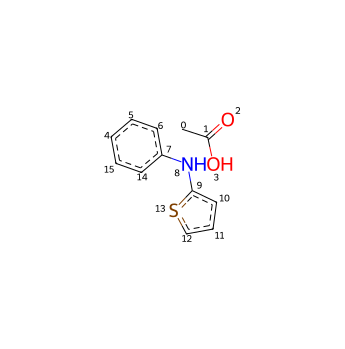 CC(=O)O.c1ccc(Nc2cccs2)cc1